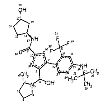 C[C@H]1CCCN1C(O)c1nc(C(=O)N[C@H]2CC[C@H](O)C2)sc1-c1cnc(NC(C)(C)C)cc1C(F)(F)F